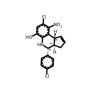 O=[N+]([O-])c1c(Cl)cc(O)c2c1[C@@H]1C=CC[C@H]1[C@H](c1ccc(Cl)cc1)N2